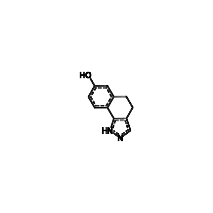 Oc1ccc2c(c1)CCc1cn[nH]c1-2